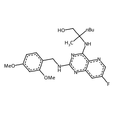 CCCCC(C)(CO)Nc1nc(NCc2ccc(OC)cc2OC)nc2cc(F)cnc12